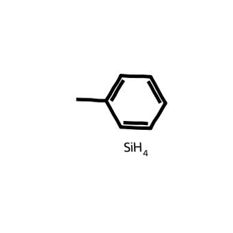 Cc1ccccc1.[SiH4]